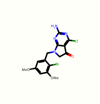 COc1cc(CN2CC(=O)c3c(Cl)nc(N)nc32)c(Br)c(OC)c1